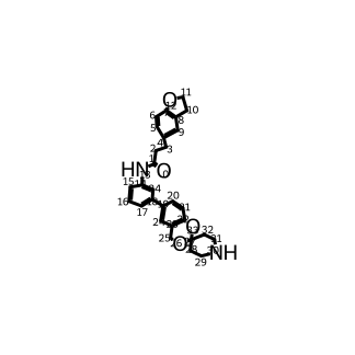 O=C(CCc1ccc2c(c1)CCO2)Nc1cccc(-c2ccc3c(c2)COC2(CCNCC2)O3)c1